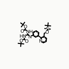 CC(C)(C)OC(=O)NC(=Nc1cccc(-c2ncccc2CO[Si](C)(C)C(C)(C)C)c1)NC(=O)OC(C)(C)C